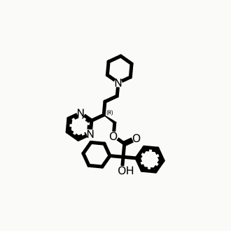 O=C(OC[C@H](CCN1CCCCC1)c1ncccn1)C(O)(c1ccccc1)C1CCCCC1